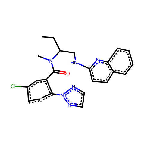 CCC(CNc1ccc2ccccc2n1)N(C)C(=O)c1cc(Cl)ccc1-n1nccn1